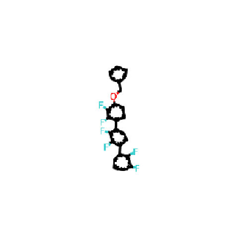 Fc1cccc(-c2ccc(-c3ccc(OCc4ccccc4)c(F)c3F)c(F)c2F)c1F